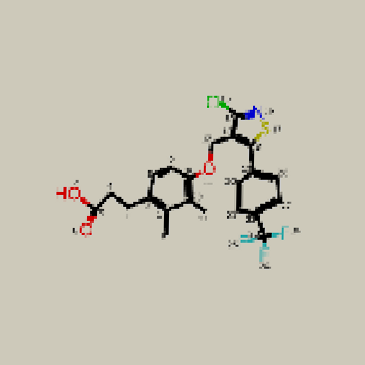 Cc1c(CCC(=O)O)ccc(OCc2c(Cl)nsc2-c2ccc(C(F)(F)F)cc2)c1C